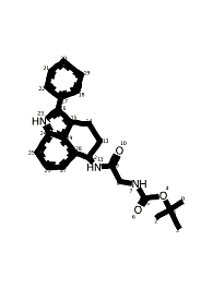 CC(C)(C)OC(=O)NCC(=O)NC1CCc2c(-c3ccccc3)[nH]c3cccc1c23